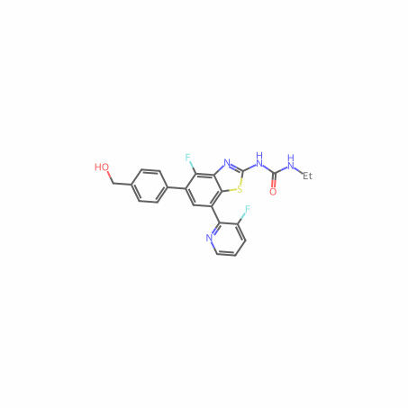 CCNC(=O)Nc1nc2c(F)c(-c3ccc(CO)cc3)cc(-c3ncccc3F)c2s1